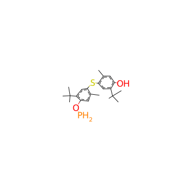 Cc1cc(O)c(C(C)(C)C)cc1Sc1cc(C(C)(C)C)c(OP)cc1C